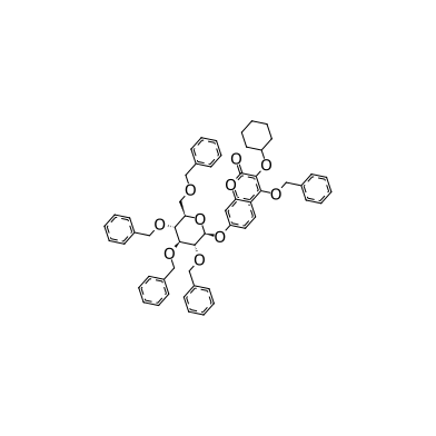 O=c1oc2cc(O[C@@H]3O[C@H](COCc4ccccc4)[C@@H](OCc4ccccc4)[C@H](OCc4ccccc4)[C@H]3OCc3ccccc3)ccc2c(OCc2ccccc2)c1OC1CCCCC1